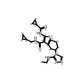 CCNc1nncn1C1CCc2sc(NC(=O)C3CC3)c(C(=O)NCC3CC3)c2C1